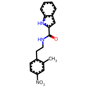 Cc1cc([N+](=O)[O-])ccc1CCNC(=O)c1cc2ccccc2[nH]1